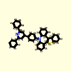 c1ccc(-c2cc(-c3ccc(N4c5ccccc5-c5sc6ccccc6c5-c5ccccc54)cc3)cc(-c3ccccc3)n2)cc1